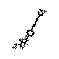 CC(NCc1ccc(C#CC#Cc2cn[nH]c2)cc1)(C(=O)NO)[C@](C)(O)C(F)F